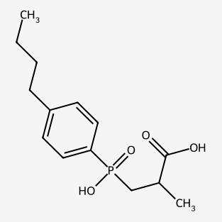 CCCCc1ccc(P(=O)(O)CC(C)C(=O)O)cc1